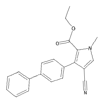 CCOC(=O)c1c(-c2ccc(-c3ccccc3)cc2)c(C#N)cn1C